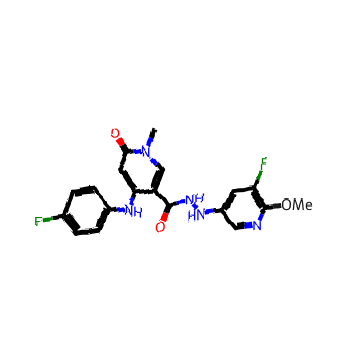 COc1ncc(NNC(=O)c2cn(C)c(=O)cc2Nc2ccc(F)cc2)cc1F